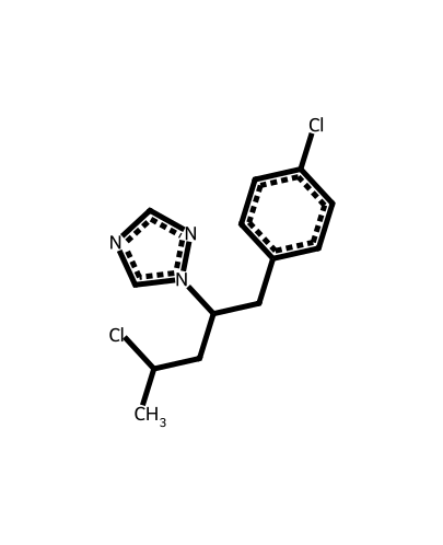 CC(Cl)CC(Cc1ccc(Cl)cc1)n1cncn1